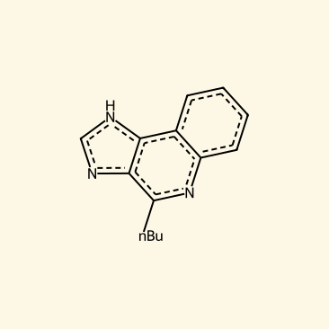 CCCCc1nc2ccccc2c2[nH]cnc12